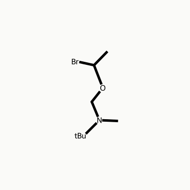 CC(Br)OCN(C)C(C)(C)C